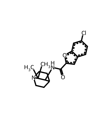 CC1(C)C(NC(=O)c2cc3ccc(Cl)cc3o2)C2CCN1CC2